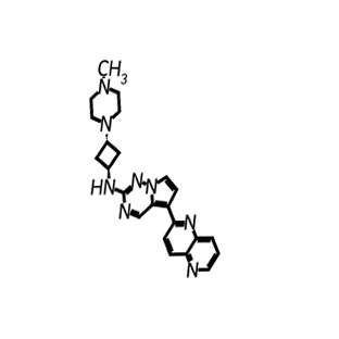 CN1CCN([C@H]2C[C@H](Nc3ncc4c(-c5ccc6ncccc6n5)ccn4n3)C2)CC1